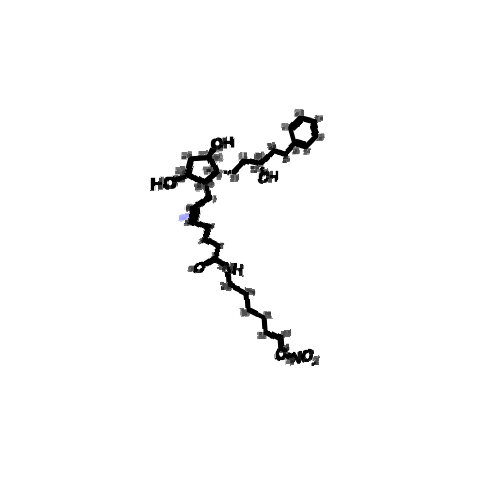 O=C(CCC/C=C\C[C@@H]1[C@@H](CC[C@@H](O)CCc2ccccc2)[C@H](O)C[C@@H]1O)NCCCCCCO[N+](=O)[O-]